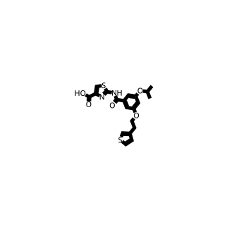 CC(C)Oc1cc(OCCc2ccsc2)cc(C(=O)Nc2nc(C(=O)O)cs2)c1